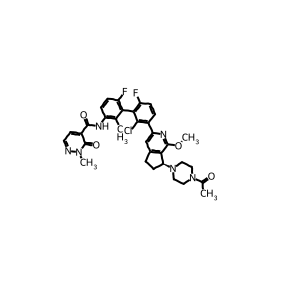 COc1nc(-c2ccc(F)c(-c3c(F)ccc(NC(=O)c4ccnn(C)c4=O)c3C)c2Cl)cc2c1[C@@H](N1CCN(C(C)=O)CC1)CC2